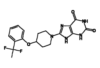 CC(F)(F)c1ccccc1OC1CCN(c2nc3c(=O)[nH]c(=O)[nH]c3[nH]2)CC1